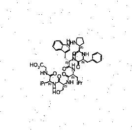 CC(C)C[C@H](NC(=O)[C@H](Cc1c[nH]c2ccccc12)NC(=O)[C@H](Cc1ccccc1)NC(=O)[C@@H]1CCCN1)C(=O)N[C@@H](CO)C(=O)N[C@H](C(=O)NCC(=O)O)C(C)C